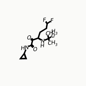 CC(C)(C)NC(CCC(F)F)C(=O)C(=O)NC1CC1